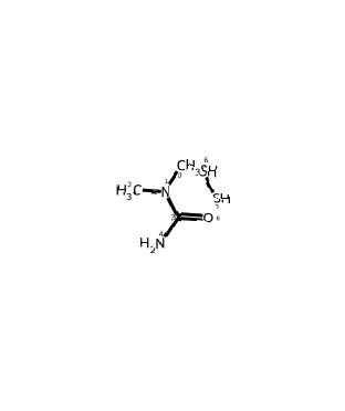 CN(C)C(N)=O.SS